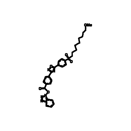 COCCCCCCCCCS(=O)(=O)c1ccc(-c2nc(-c3ccc(C(=O)On4nnc5ccccc54)cc3)no2)cc1